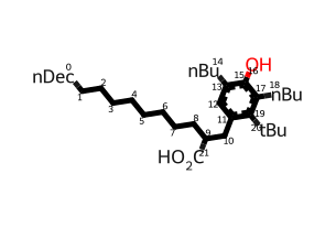 CCCCCCCCCCCCCCCCCCC(Cc1cc(CCCC)c(O)c(CCCC)c1C(C)(C)C)C(=O)O